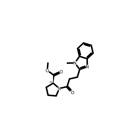 COC(=O)[C@@H]1CCCN1C(=O)CCc1nc2ccccc2n1C